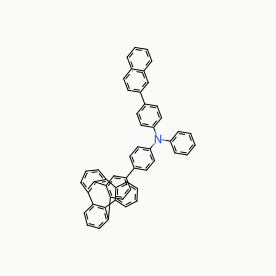 c1ccc(N(c2ccc(-c3ccc4c(c3)-c3c5cccc3-c3cccc-4c3-c3ccccc3-5)cc2)c2ccc(-c3ccc4ccccc4c3)cc2)cc1